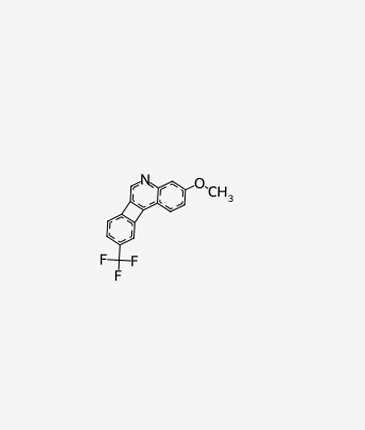 COc1ccc2c3c(cnc2c1)-c1ccc(C(F)(F)F)cc1-3